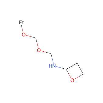 CCOCOCNC1CCO1